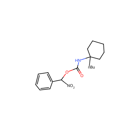 CCCCC1(NC(=O)OC(c2ccccc2)[N+](=O)[O-])CCCCC1